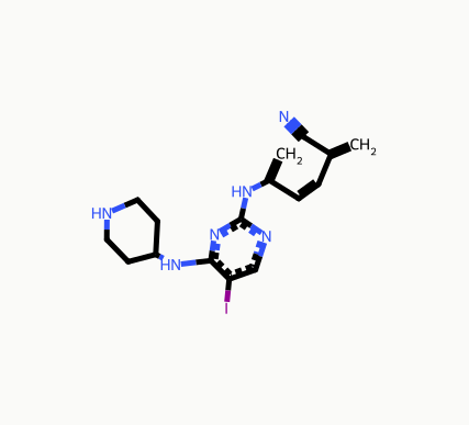 C=C(C#N)/C=C\C(=C)Nc1ncc(I)c(NC2CCNCC2)n1